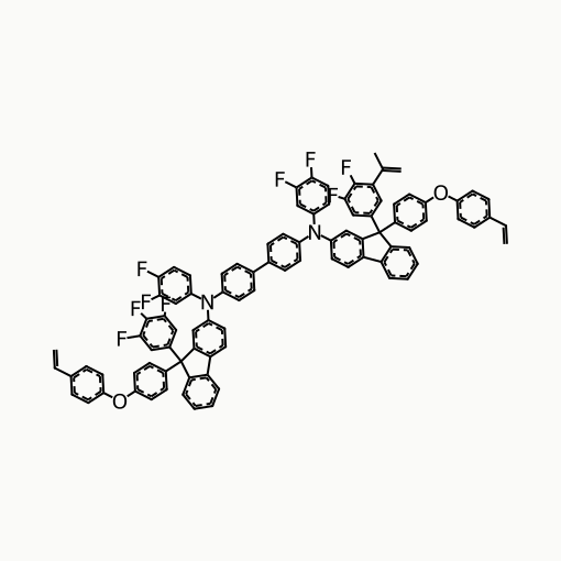 C=Cc1ccc(Oc2ccc(C3(c4cc(F)c(F)c(F)c4)c4ccccc4-c4ccc(N(c5ccc(-c6ccc(N(c7ccc(F)c(F)c7)c7ccc8c(c7)C(c7ccc(Oc9ccc(C=C)cc9)cc7)(c7cc(F)c(F)c(C(=C)C)c7)c7ccccc7-8)cc6)cc5)c5ccc(F)c(F)c5)cc43)cc2)cc1